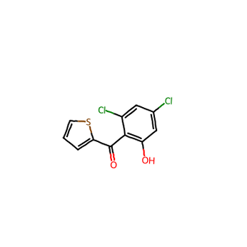 O=C(c1cccs1)c1c(O)cc(Cl)cc1Cl